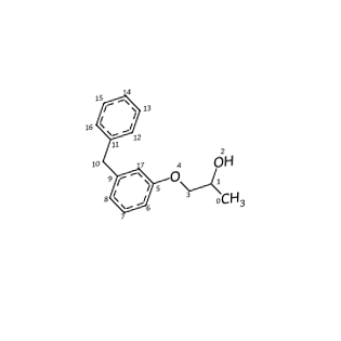 CC(O)COc1cccc(Cc2ccccc2)c1